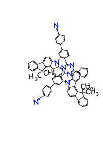 CC1(C)c2ccccc2-c2ccc3c(c21)c1ccccc1n3-c1cc(-c2ccc(C#N)cc2)ccc1-c1nc(-c2ccccc2)nc(-c2ccc(-c3ccc(C#N)cc3)cc2-n2c3ccccc3c3c4c(ccc32)-c2ccccc2C4(C)C)n1